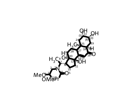 COC(CN(C(=O)C(C)C)C(C)[C@H]1CC[C@@]2(O)C3=CC(=O)[C@@H]4C[C@@H](O)[C@@H](O)C[C@]4(C)C3CC[C@]12C)OC